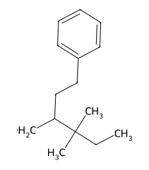 [CH2]C(CCc1ccccc1)C(C)(C)CC